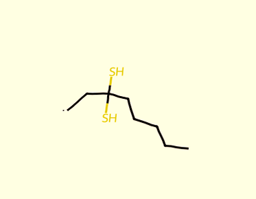 [CH2]CC(S)(S)CCCCC